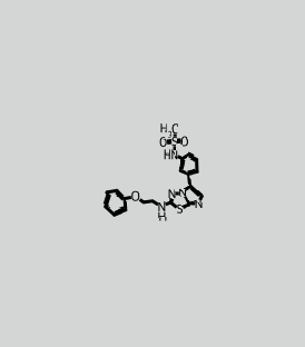 CS(=O)(=O)Nc1cccc(-c2cnc3sc(NCCOc4ccccc4)nn23)c1